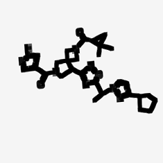 CC(c1nc(C2CN(C(=O)c3cn[nH]c3)CC23CN(C(=O)[C@H]2CC2(C)C)C3)no1)n1ccc(C2CCCC2)n1